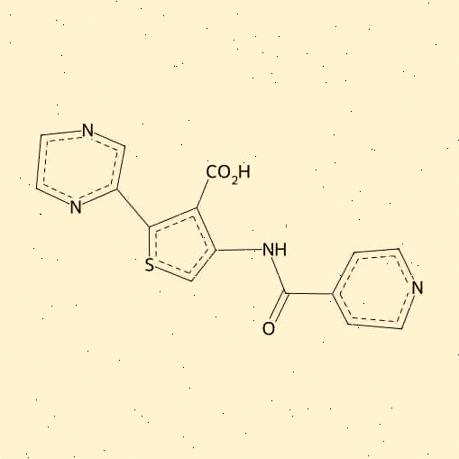 O=C(Nc1csc(-c2cnccn2)c1C(=O)O)c1ccncc1